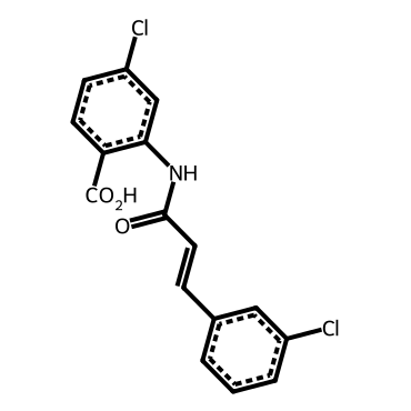 O=C(/C=C/c1cccc(Cl)c1)Nc1cc(Cl)ccc1C(=O)O